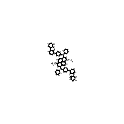 Cc1cc(N(c2ccccc2)c2ccc(-c3cccc4c3sc3ccccc34)cc2)c2ccc3c(C)cc(N(c4ccccc4)c4ccc(-c5cccc6c5sc5ccccc56)cc4)c4ccc1c2c34